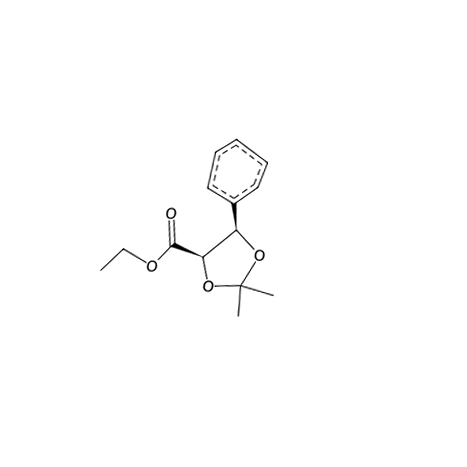 CCOC(=O)[C@@H]1OC(C)(C)O[C@@H]1c1ccccc1